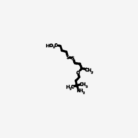 CC(CCSSCCCC(=O)O)OCCC(C)(C)N